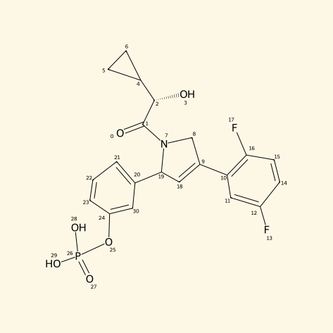 O=C([C@@H](O)C1CC1)N1CC(c2cc(F)ccc2F)=CC1c1cccc(OP(=O)(O)O)c1